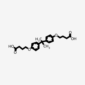 CC(C)(c1ccc(OCCCC(=O)O)cc1)c1ccc(OCCCC(=O)O)cc1